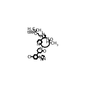 C[C@@H]1CCC[C@H](N2CCC(c3cc(Cl)ccc3-n3ccnn3)=CC2=O)c2cc(ccn2)-c2c(cnn2CCO[Si](C)(C)C(C)(C)C)NC1=O